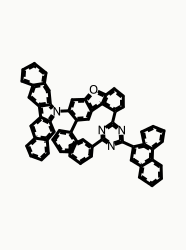 c1ccc(-c2nc(-c3cc4ccccc4c4ccccc34)nc(-c3cccc4oc5cc(-n6c7cc8ccccc8cc7c7cc8ccccc8cc76)c(-c6ccccc6)cc5c34)n2)cc1